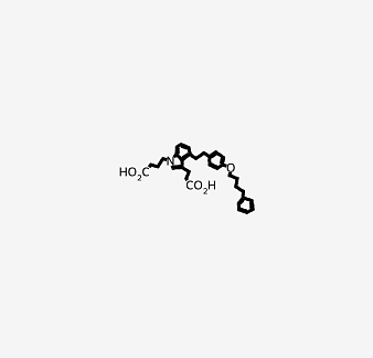 O=C(O)CCCn1cc(CCC(=O)O)c2c(CCc3ccc(OCCCCc4ccccc4)cc3)cccc21